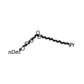 CCCCCCCCCCCOCCOCCOCCCC(=O)OCCCCCCCCCCCCCCCC(C)C